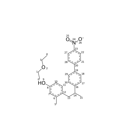 CCOCC.Cc1cc(O)ccc1CC(C)c1ccc(-c2ccc([N+](=O)[O-])cc2)cc1